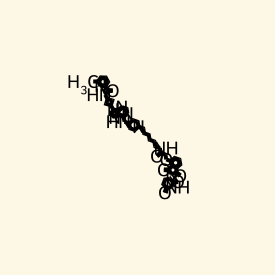 Cc1cccc(C(=O)NC2CC(n3cnc4c(NC5CCN(CCCCCCNC(=O)COc6cccc7c6C(=O)N([C@H]6CCC(=O)NC6=O)C7=O)CC5)ncnc43)C2)n1